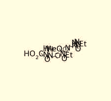 CCC(=O)N(c1ccc(CNC(=O)NCC(=O)O)cc1)C1(COC)CCN(CCn2nnn(CC)c2=O)CC1